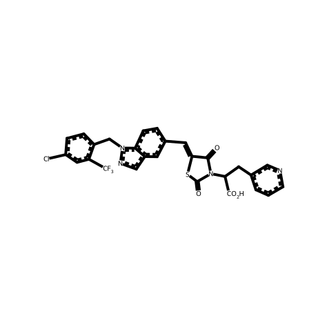 O=C(O)C(Cc1cccnc1)N1C(=O)SC(=Cc2ccc3c(cnn3Cc3ccc(Cl)cc3C(F)(F)F)c2)C1=O